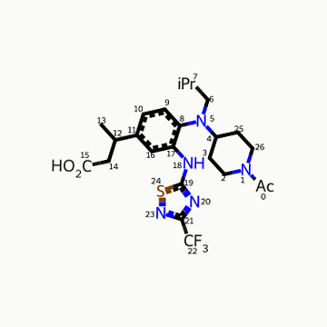 CC(=O)N1CCC(N(CC(C)C)c2ccc(C(C)CC(=O)O)cc2Nc2nc(C(F)(F)F)ns2)CC1